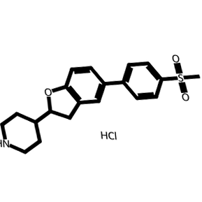 CS(=O)(=O)c1ccc(-c2ccc3c(c2)CC(C2CCNCC2)O3)cc1.Cl